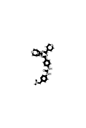 CN(C)Cc1ccc(NC(=O)Nc2ccc(-c3nc(C4CCOCC4)nc(N4C5CCC4COC5)n3)cc2)cc1